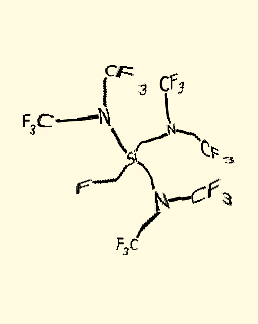 FC(F)(F)N(C(F)(F)F)[Si](F)(N(C(F)(F)F)C(F)(F)F)N(C(F)(F)F)C(F)(F)F